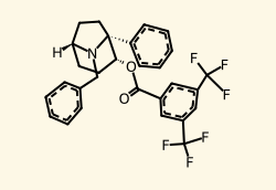 O=C(O[C@@H]1CC[C@@H]2CC[C@]1(c1ccccc1)N2Cc1ccccc1)c1cc(C(F)(F)F)cc(C(F)(F)F)c1